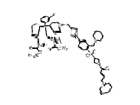 COC(=O)N[C@H]1CCC[C@@H]1[C@](CNC(C)=O)(c1cccc(F)c1)C1CCN(CC2CN(c3ccc(S(=O)(=O)C4CN(C(=O)/C=C/CN5CCCCC5)C4)c(CN4CCCCC4)c3)C2)CC1